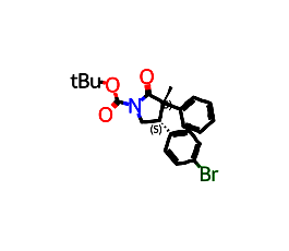 CC(C)(C)OC(=O)N1C[C@@H](c2ccc(Br)cc2)[C@@](C)(c2ccccc2)C1=O